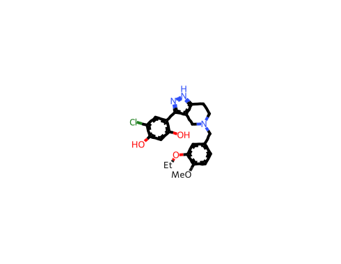 CCOc1cc(CN2CCc3[nH]nc(-c4cc(Cl)c(O)cc4O)c3C2)ccc1OC